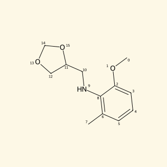 COc1cccc(C)c1NCC1COCO1